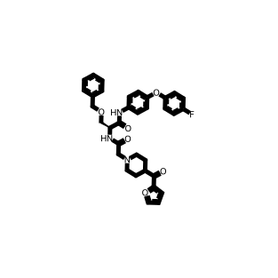 O=C(CN1CCC(C(=O)c2ccco2)CC1)N[C@@H](COCc1ccccc1)C(=O)Nc1ccc(Oc2ccc(F)cc2)cc1